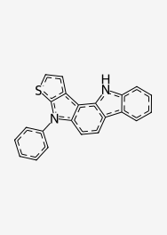 c1ccc(-n2c3ccc4c5ccccc5[nH]c4c3c3ccsc32)cc1